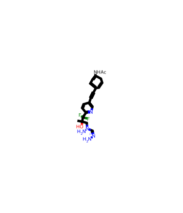 CC(=O)NC1=CC=C(C#Cc2ccc(C(F)(F)C(C)(O)CN(N)/C=N\N)nc2)C=CC1